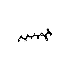 C=C(C)C(=O)OCCCCCCC